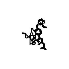 CCOC(=O)NS(=O)(=O)c1sc(CC(C)C)cc1-c1ccc(Cn2ccnc2CC)c(F)c1